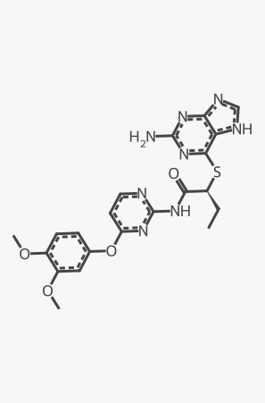 CC[C@H](Sc1nc(N)nc2nc[nH]c12)C(=O)Nc1nccc(Oc2ccc(OC)c(OC)c2)n1